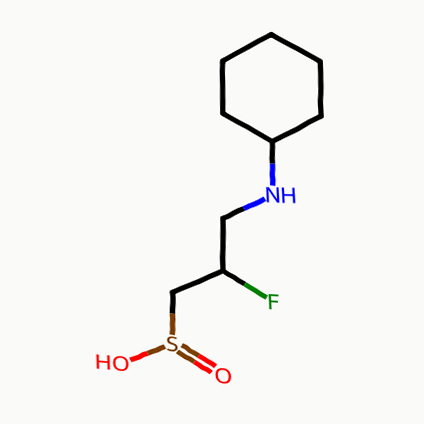 O=S(O)CC(F)CNC1CCCCC1